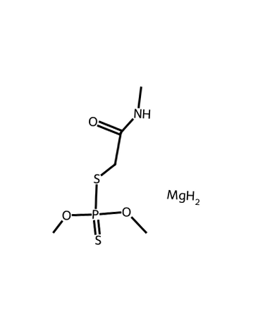 CNC(=O)CSP(=S)(OC)OC.[MgH2]